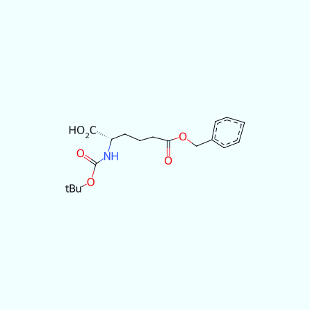 CC(C)(C)OC(=O)N[C@@H](CCCC(=O)OCc1ccccc1)C(=O)O